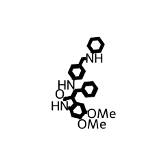 COc1cc2c(cc1OC)/C(=C(/Nc1ccc(CNC3CCCCC3)cc1)c1ccccc1)C(=O)N2